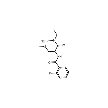 CCN(C#N)C(=O)C(CSC)NC(=O)c1ccccc1F